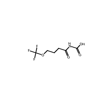 O=C(O)NC(=O)CCCOC(F)(F)F